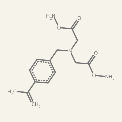 C=C(C)c1ccc(CN(CC(=O)ON)CC(=O)ON)cc1